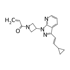 C=CC(=O)N1CC(n2nc(C=CC3CC3)c3cccnc32)C1